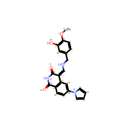 CCCOc1ccc(CN/C=C2\C(=O)NC(=O)c3ccc(-n4cccc4)cc32)cc1O